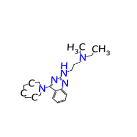 CCN(CC)CCCNc1nc(N2CCCCCCC2)c2ccccc2n1